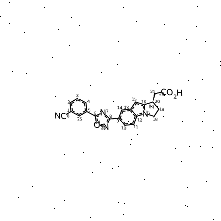 N#Cc1cccc(-c2nc(-c3ccc4c(c3)cc3n4CC[C@@H]3CC(=O)O)no2)c1